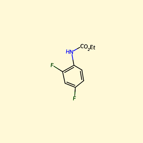 [CH2]COC(=O)Nc1ccc(F)cc1F